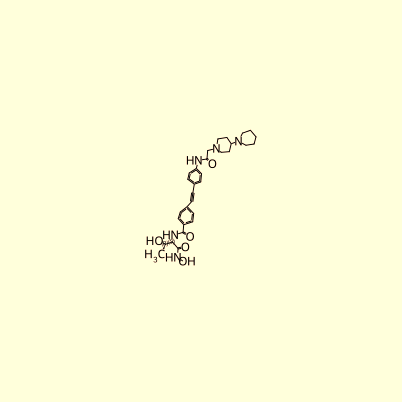 C[C@@H](O)[C@H](NC(=O)c1ccc(C#Cc2ccc(NC(=O)CN3CCC(N4CCCCC4)CC3)cc2)cc1)C(=O)NO